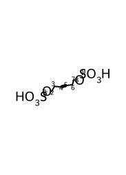 O=S(=O)(O)OCCC#CCCOS(=O)(=O)O